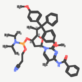 COc1ccc(C(c2ccccc2)(c2ccc(OC)cc2)[C@H](C)[C@@H]2O[C@@H](n3cc(C)c(NC(=O)c4ccccc4)nc3=O)C[C@H]2OP(OCCC#N)N(C(C)C)C(C)C)cc1